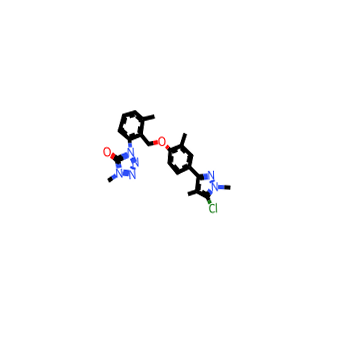 Cc1cc(-c2nn(C)c(Cl)c2C)ccc1OCc1c(C)cccc1-n1nnn(C)c1=O